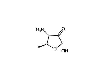 C[C@@H]1OCC(=O)[C@H]1N.Cl